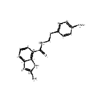 COc1ccc(CCNC(=O)c2cccc3nc(N)[nH]c23)cc1